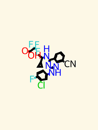 CC(Nc1nc(Nc2ccc(F)c(Cl)c2)nc2c(C#N)cccc12)C1CC1.O=C(O)C(F)(F)F